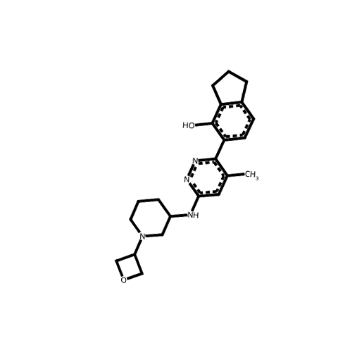 Cc1cc(NC2CCCN(C3COC3)C2)nnc1-c1ccc2c(c1O)CCC2